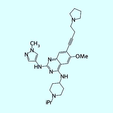 COc1cc2c(NC3CCN(C(C)C)CC3)nc(Nc3cnn(C)c3)nc2cc1C#CCCN1CCCC1